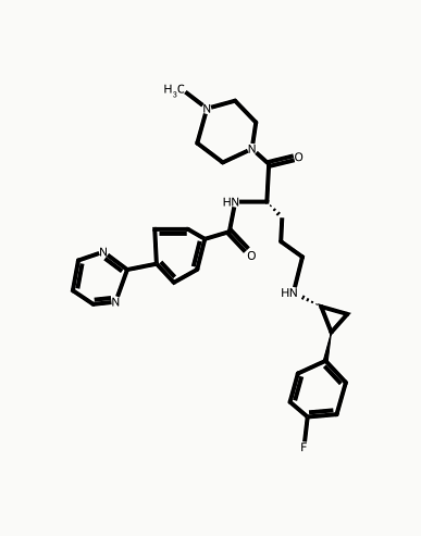 CN1CCN(C(=O)[C@H](CCCN[C@@H]2C[C@H]2c2ccc(F)cc2)NC(=O)c2ccc(-c3ncccn3)cc2)CC1